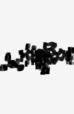 CCN(CC)c1ccc2c(-c3ccccc3S(=O)(=O)NS(=O)(=O)c3c(F)c(F)c(SCCN4C(=O)CC(S)C4=O)c(F)c3F)c3ccc(=[N+](CC)CC)cc-3oc2c1